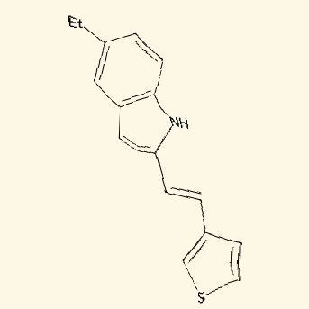 CCc1ccc2[nH]c(/C=C/c3ccsc3)cc2c1